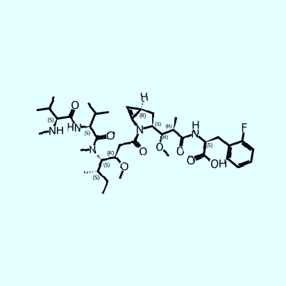 CC[C@H](C)[C@@H]([C@@H](CC(=O)N1C2=C[C@H]2C[C@H]1[C@H](OC)[C@@H](C)C(=O)N[C@@H](Cc1ccccc1F)C(=O)O)OC)N(C)C(=O)[C@@H](NC(=O)[C@@H](NC)C(C)C)C(C)C